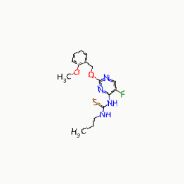 CCCNC(=S)Nc1nc(OCc2ccccc2OC)ncc1F